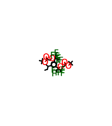 CCC(C)c1cc(C(OCC(=O)OC(C)(C)C)(C(F)(F)F)C(F)(F)F)cc(C(OCC(=O)OC(C)(C)C)(C(F)(F)F)C(F)(F)F)c1